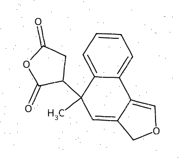 CC1(C2CC(=O)OC2=O)C=C2COC=C2c2ccccc21